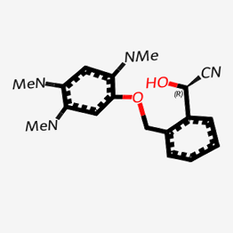 CNc1cc(NC)c(OCc2ccccc2[C@@H](O)C#N)cc1NC